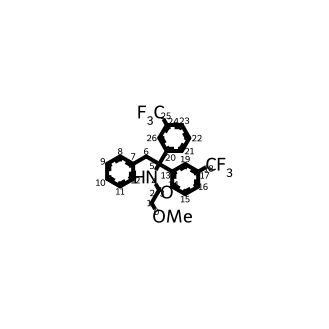 COCC(=O)NC(Cc1ccccc1)(c1cccc(C(F)(F)F)c1)c1cccc(C(F)(F)F)c1